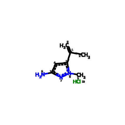 C=C(C)c1cc(N)nn1C.Cl